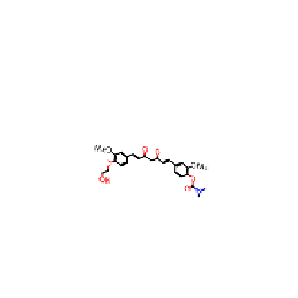 COc1cc(C=CC(=O)CC(=O)C=Cc2ccc(OC(=O)N(C)C)c(OC)c2)ccc1OCCO